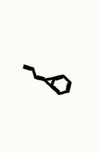 C=CC=C1c2ccccc21